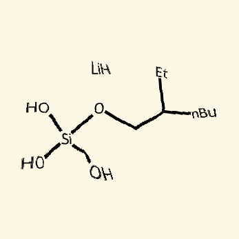 CCCCC(CC)CO[Si](O)(O)O.[LiH]